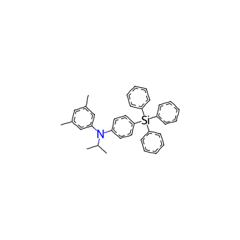 Cc1cc(C)cc(N(c2ccc([Si](c3ccccc3)(c3ccccc3)c3ccccc3)cc2)C(C)C)c1